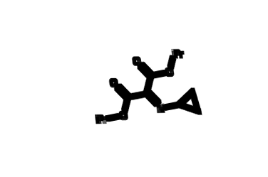 CC(C)OC(=O)C(=NC1CC1)C(=O)OC(C)C